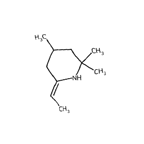 C/C=C1/CC(C)CC(C)(C)N1